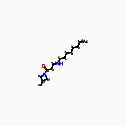 CC(=O)CCCCCCCNCCC(=O)N1CC(C)C1